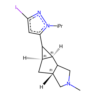 CC(C)n1nc(I)cc1C1[C@H]2C3CN(C)C[C@@H]3C[C@@H]12